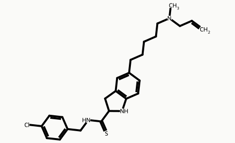 C=CCN(C)CCCCCc1ccc2c(c1)CC(C(=S)NCc1ccc(Cl)cc1)N2